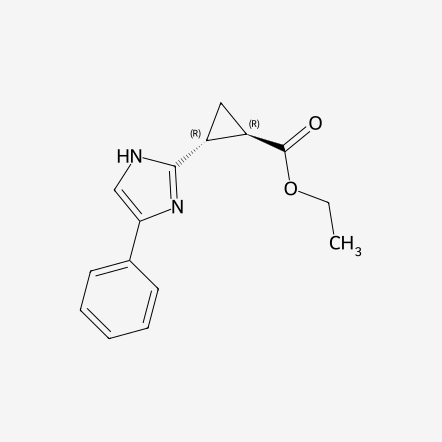 CCOC(=O)[C@@H]1C[C@H]1c1nc(-c2ccccc2)c[nH]1